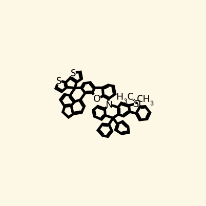 C[Si]1(C)c2ccccc2-c2cc3c(cc21)N(c1cccc2c1oc1c4c(ccc12)C1(c2ccsc2-c2sccc21)c1ccc2c5c(ccc-4c15)CC2)c1ccccc1C3(c1ccccc1)c1ccccc1